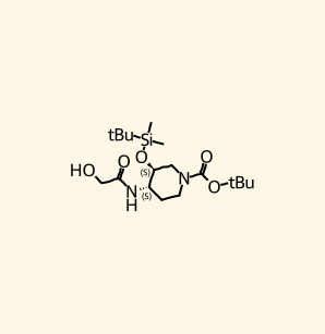 CC(C)(C)OC(=O)N1CC[C@H](NC(=O)CO)[C@@H](O[Si](C)(C)C(C)(C)C)C1